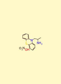 CC(N)CN1c2ccccc2Sc2ccccc21.O=[N+]([O-])O